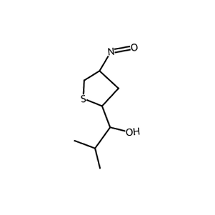 CC(C)C(O)C1CC(N=O)CS1